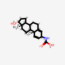 C[C@]12C=CC(NC(=O)O)C=C1CCC1C2CC[C@@]2(C)C1CC[C@H]2O